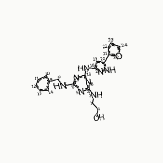 OCCNc1nc(NCc2ccccc2)nc(Nc2cc(-c3ccco3)[nH]n2)n1